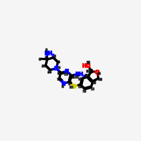 CC1(N)CCN(c2cnc(Sc3ccc4c(c3)B(O)OC4)c(N)n2)CC1